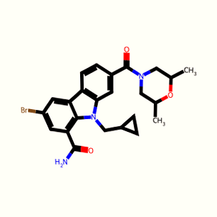 CC1CN(C(=O)c2ccc3c4cc(Br)cc(C(N)=O)c4n(CC4CC4)c3c2)CC(C)O1